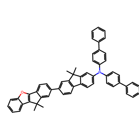 CC1(C)c2cc(-c3ccc4c(c3)C(C)(C)c3c-4oc4ccccc34)ccc2-c2ccc(N(c3ccc(-c4ccccc4)cc3)c3ccc(-c4ccccc4)cc3)cc21